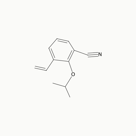 C=Cc1cccc(C#N)c1OC(C)C